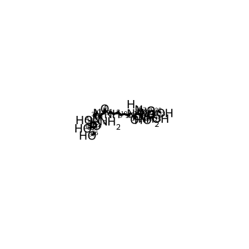 Nc1c(C(=O)NCCCCCCNC(=O)c2ncn([C@@H]3O[C@H](CO)[C@@H](O)[C@H]3O)c2N)ncn1[C@@H]1O[C@H](CO)[C@@H](O)[C@H]1O